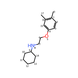 Cc1ccc(OCCNC2CCCCC2)cc1C